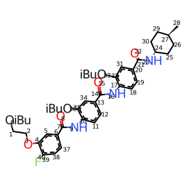 CC(C)COCCOc1cc(C(=O)Nc2ccc(C(=O)Nc3ccc(C(=O)N[C@H]4CC[C@H](C)CC4)cc3OCC(C)C)cc2OCC(C)C)ccc1F